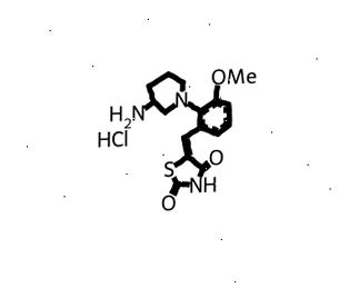 COc1cccc(/C=C2/SC(=O)NC2=O)c1N1CCCC(N)C1.Cl